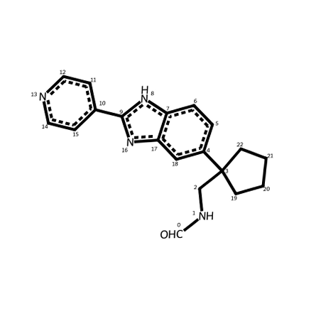 O=CNCC1(c2ccc3[nH]c(-c4ccncc4)nc3c2)CCCC1